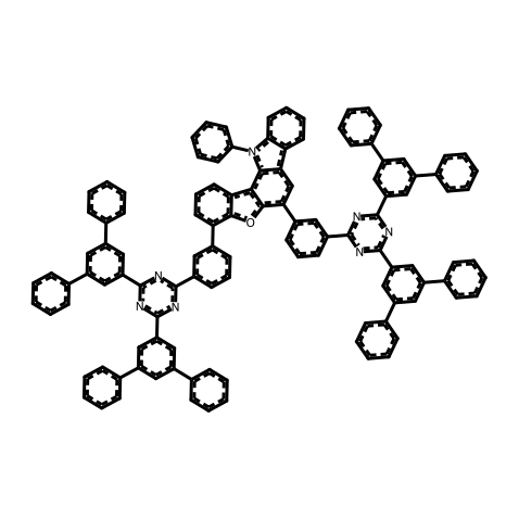 c1ccc(-c2cc(-c3ccccc3)cc(-c3nc(-c4cc(-c5ccccc5)cc(-c5ccccc5)c4)nc(-c4cccc(-c5cccc6c5oc5c(-c7cccc(-c8nc(-c9cc(-c%10ccccc%10)cc(-c%10ccccc%10)c9)nc(-c9cc(-c%10ccccc%10)cc(-c%10ccccc%10)c9)n8)c7)cc7c8ccccc8n(-c8ccccc8)c7c56)c4)n3)c2)cc1